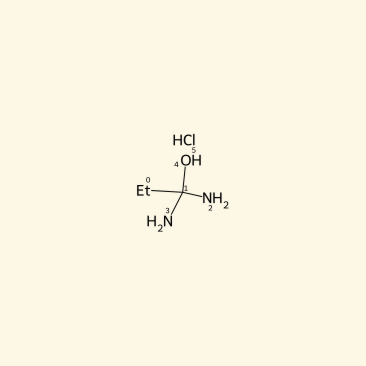 CCC(N)(N)O.Cl